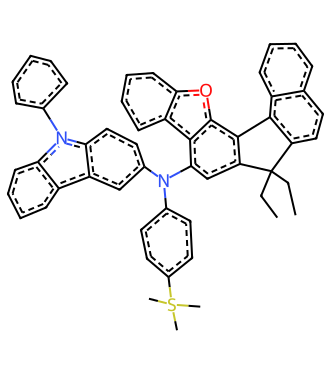 CCC1(CC)c2ccc3ccccc3c2-c2c1cc(N(c1ccc(S(C)(C)C)cc1)c1ccc3c(c1)c1ccccc1n3-c1ccccc1)c1c2oc2ccccc21